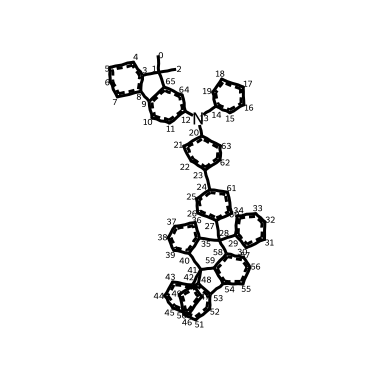 CC1(C)c2ccccc2-c2ccc(N(c3ccccc3)c3ccc(-c4ccc(C5(c6ccccc6)c6ccccc6C6(c7ccccc7)c7ccccc7-c7cccc5c76)cc4)cc3)cc21